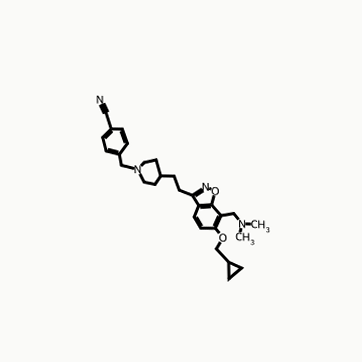 CN(C)Cc1c(OCC2CC2)ccc2c(CCC3CCN(Cc4ccc(C#N)cc4)CC3)noc12